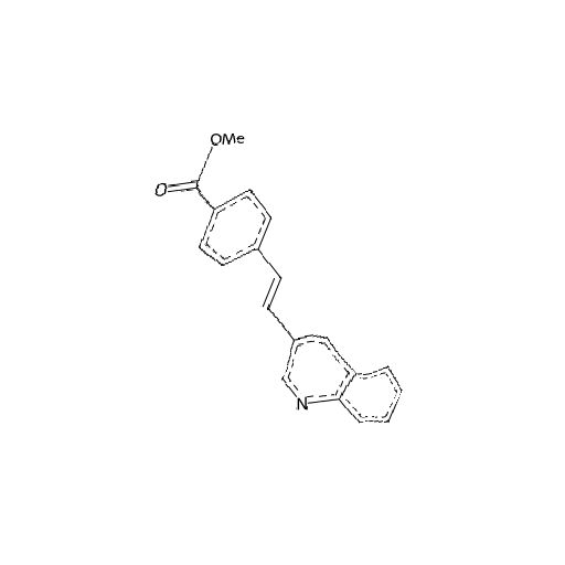 COC(=O)c1ccc(C=Cc2cnc3ccccc3c2)cc1